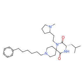 CC(C)C[C@@H]1NC(=O)C2(CCN(CCCCCCc3ccccc3)CC2)N(CCC2CCCN2C)C1=O